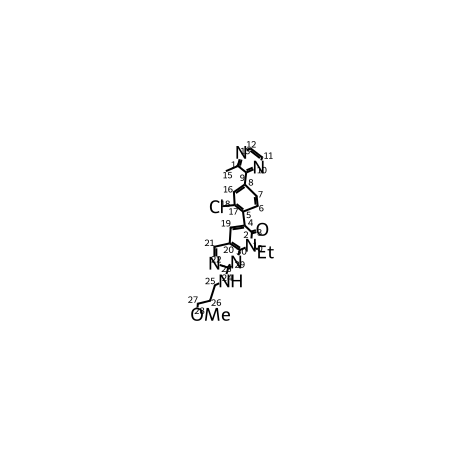 CCn1c(=O)c(-c2ccc(-c3nccnc3C)cc2Cl)cc2cnc(NCCCOC)nc21